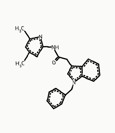 Cc1cc(C)nc(NC(=O)Cc2cn(Cc3ccccc3)c3ccccc23)c1